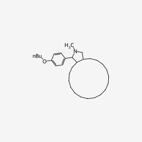 CCCCOc1ccc(C2C3CCCCCCCCCCCCCCCCC3CN2C)cc1